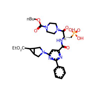 CCCCOC(=O)N1CCN(C(=O)[C@H](CP(=O)(O)O)NC(=O)c2cc(N3CC4C(C3)C4C(=O)OCC)nc(-c3ccccc3)n2)CC1